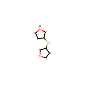 C1CC(SC2CCOC2)CO1